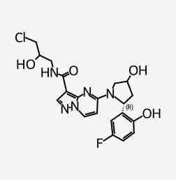 O=C(NCC(O)CCl)c1cnn2ccc(N3CC(O)C[C@@H]3c3cc(F)ccc3O)nc12